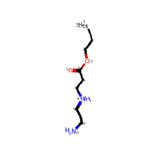 CCCCCCCCOC(=O)CCNCCN